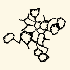 CC1=C(C)C(C)C([Si](c2ccc(Cc3ccccc3)c(C)c2Cc2ccccc2)(c2ccc(Cc3ccccc3)c(C)c2Cc2ccccc2)c2ccc(Cc3ccccc3)c(C)c2Cc2ccccc2)=C1C